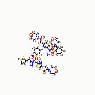 O=C(Cc1csc(N(NCc2cccs2)S(=O)(=O)c2ccccc2)n1)N1CCOCC1.O=C(Cc1csc(NS(=O)(=O)c2ccccc2N2CCOCC2)n1)N1CCOCC1